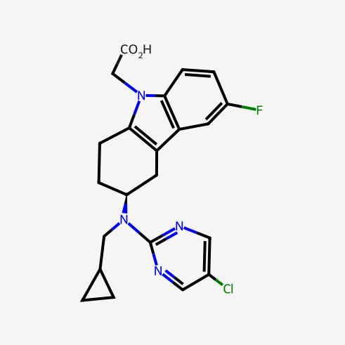 O=C(O)Cn1c2c(c3cc(F)ccc31)C[C@@H](N(CC1CC1)c1ncc(Cl)cn1)CC2